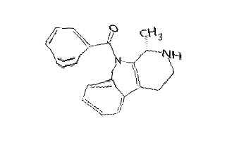 C[C@@H]1NCCc2c1n(C(=O)c1ccccc1)c1ccccc21